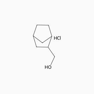 Cl.OCC1CC2CCC1C2